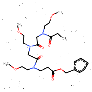 CCC(=O)N(CCOC)CC(=O)N(CCOC)CC(=O)N(CCOC)CCC(=O)OCc1ccccc1